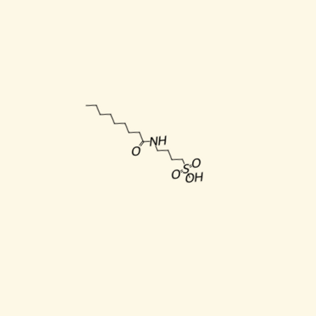 CCCCCCCCC(=O)NCCCCS(=O)(=O)O